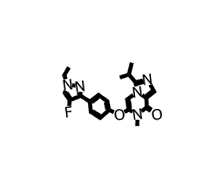 CCn1cc(F)c(-c2ccc(Oc3cn4c(C(C)C)ncc4c(=O)n3C)cc2)n1